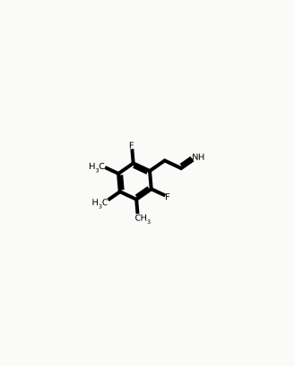 Cc1c(C)c(F)c(CC=N)c(F)c1C